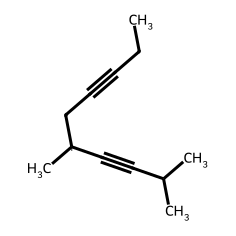 CCC#CC[C](C)C#CC(C)C